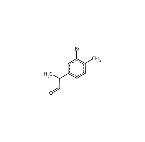 Cc1ccc(C(C)C=O)cc1Br